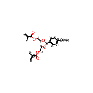 C=C(C)C(=O)OCCOC(OCCOC(=O)C(=C)C)c1ccc(OC)cc1